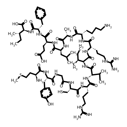 CC[C@H](C)[C@H](NC(=O)[C@H](Cc1ccccc1)NC(=O)[C@H](CCC(=O)O)NC(=O)[C@H](CC(C)C)NC(=O)[C@H](C)NC(=O)[C@H](CCCCN)NC(=O)[C@H](CCCNC(=N)N)NC(=O)[C@@H](NC(=O)[C@@H](NC(=O)[C@H](CCCNC(=N)N)NC(=O)[C@H](CS)NC(=O)CNC(=O)[C@H](Cc1ccc(O)cc1)NC(=O)[C@@H](N)CCSC)C(C)C)[C@@H](C)CC)C(=O)O